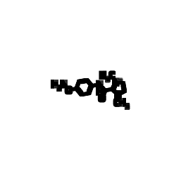 Cn1cc[n+](C)c1C(=O)Nc1ccc(ON)cc1